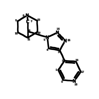 c1cc(-c2cn(C3CN4CCC3CC4)nn2)ccn1